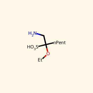 CCCCCC(CN)(OCC)S(=O)(=O)O